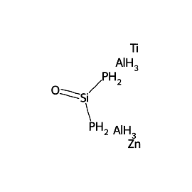 O=[Si](P)P.[AlH3].[AlH3].[Ti].[Zn]